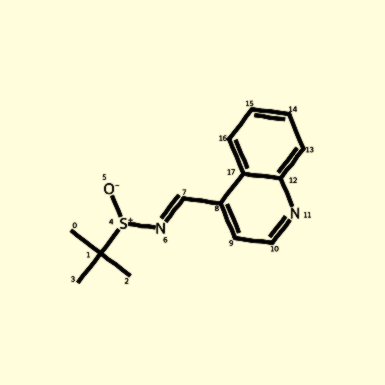 CC(C)(C)[S+]([O-])N=Cc1ccnc2ccccc12